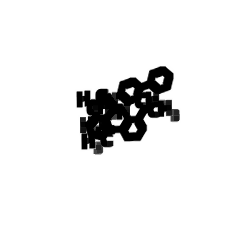 Cc1ccccc1-c1n(-c2c(C(C)C)cccc2C(C)C)c2cc(-c3ccccc3)ccc2[n+]1C